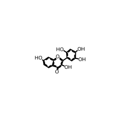 O=c1c(O)c(-c2cc(O)c(O)cc2O)oc2cc(O)ccc12